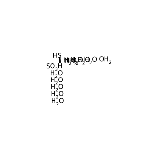 N.O.O.O.O.O.O.O.O.O.O.O=S(=O)(O)S